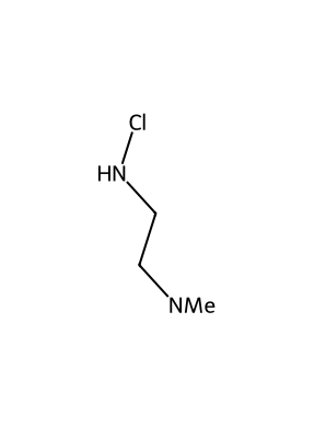 CNCCNCl